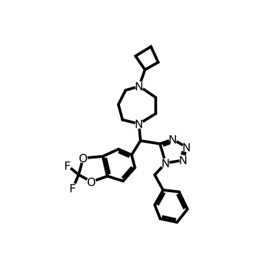 FC1(F)Oc2ccc(C(c3nnnn3Cc3ccccc3)N3CCCN(C4CCC4)CC3)cc2O1